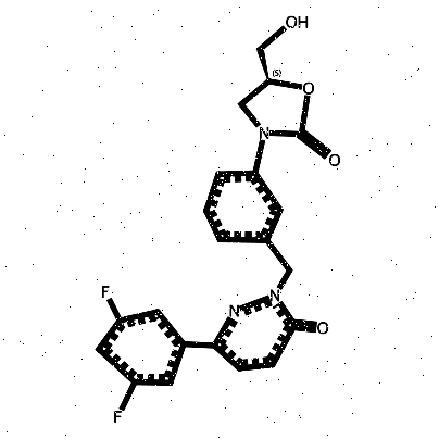 O=C1O[C@H](CO)CN1c1cccc(Cn2nc(-c3cc(F)cc(F)c3)ccc2=O)c1